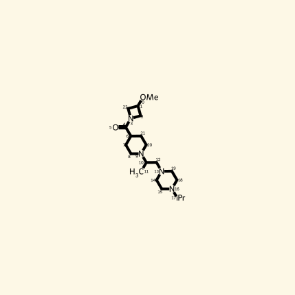 COC1CN(C(=O)C2CCN(C(C)CN3CCN(C(C)C)CC3)CC2)C1